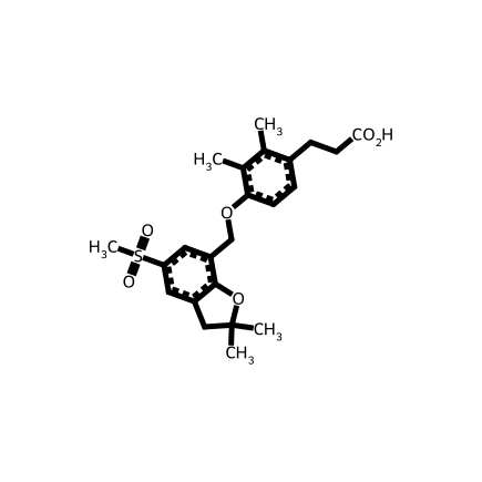 Cc1c(CCC(=O)O)ccc(OCc2cc(S(C)(=O)=O)cc3c2OC(C)(C)C3)c1C